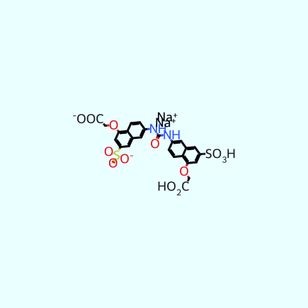 O=C([O-])COc1cc(S(=O)(=O)[O-])cc2cc(NC(=O)Nc3ccc4c(OCC(=O)O)cc(S(=O)(=O)O)cc4c3)ccc12.[Na+].[Na+]